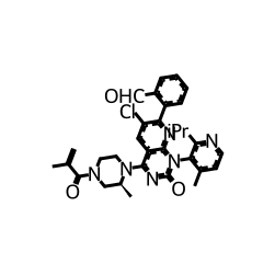 C=C(C)C(=O)N1CCN(c2nc(=O)n(-c3c(C)ccnc3C(C)C)c3nc(-c4ccccc4C=O)c(Cl)cc23)[C@@H](C)C1